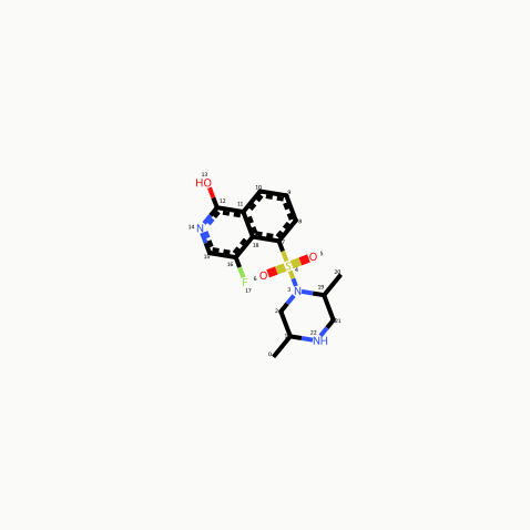 CC1CN(S(=O)(=O)c2cccc3c(O)ncc(F)c23)C(C)CN1